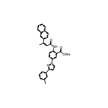 COC(=O)c1cc(-n2ccc(-c3cccc(C)c3)n2)ccc1NC(=O)/C=C(/C)c1ccc2ccccc2c1